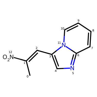 CC(=Cc1cnc2ccccn12)[N+](=O)[O-]